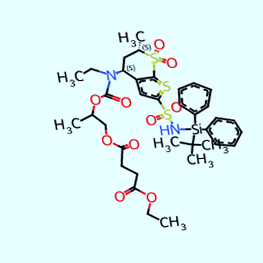 CCOC(=O)CCC(=O)OCC(C)OC(=O)N(CC)[C@H]1C[C@H](C)S(=O)(=O)c2sc(S(=O)(=O)N[Si](c3ccccc3)(c3ccccc3)C(C)(C)C)cc21